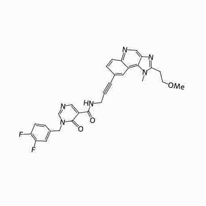 COCCc1nc2cnc3ccc(C#CCNC(=O)c4cncn(Cc5ccc(F)c(F)c5)c4=O)cc3c2n1C